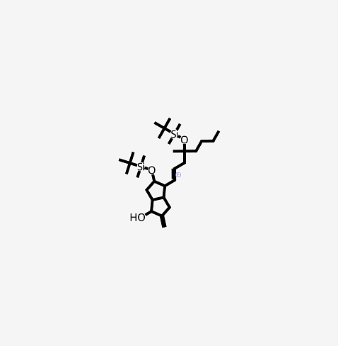 C=C1CC2C(/C=C/CC(C)(CCCC)O[Si](C)(C)C(C)(C)C)C(O[Si](C)(C)C(C)(C)C)CC2C1O